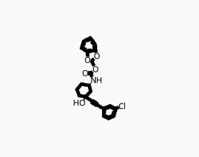 O=C(N[C@H]1CCC[C@@](O)(C#Cc2cccc(Cl)c2)C1)OC1Oc2ccccc2O1